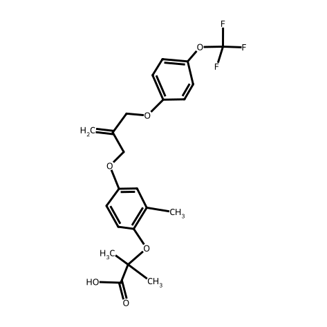 C=C(COc1ccc(OC(F)(F)F)cc1)COc1ccc(OC(C)(C)C(=O)O)c(C)c1